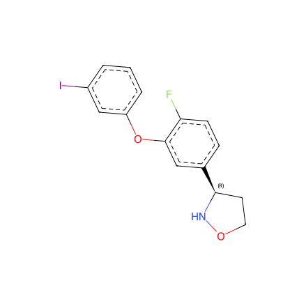 Fc1ccc([C@H]2CCON2)cc1Oc1cccc(I)c1